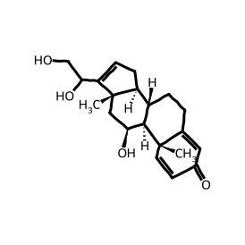 C[C@]12C=CC(=O)C=C1CC[C@@H]1[C@@H]2[C@@H](O)C[C@]2(C)C(C(O)CO)=CC[C@@H]12